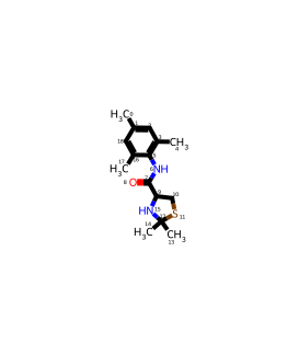 Cc1cc(C)c(NC(=O)C2CSC(C)(C)N2)c(C)c1